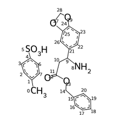 Cc1ccc(S(=O)(=O)O)cc1.NC(CC(=O)OCc1ccccc1)c1ccc2c(c1)OCO2